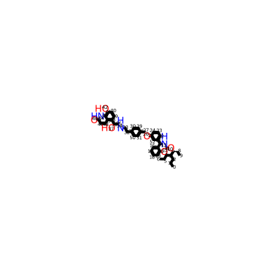 CCCC(CCC)[C@H](CC)OC(=O)NC(c1ccccc1)c1cccc(OCc2ccc(CCNC[C@H](O)c3ccc(O)c4[nH]c(=O)ccc34)cc2)c1